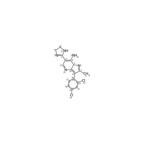 CC1=NC2C(N)=C(C3=NCCN3)C=NC2=C1c1ccc(Cl)cc1Cl